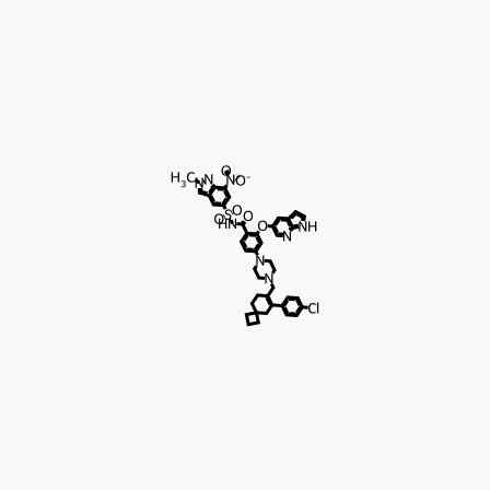 Cn1cc2cc(S(=O)(=O)NC(=O)c3ccc(N4CCN(CC5=C(c6ccc(Cl)cc6)CC6(CCC6)CC5)CC4)cc3Oc3cnc4[nH]ccc4c3)cc([N+](=O)[O-])c2n1